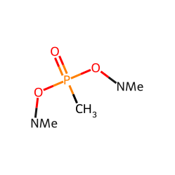 CNOP(C)(=O)ONC